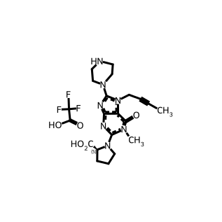 CC#CCn1c(N2CCNCC2)nc2nc(N3CCC[C@H]3C(=O)O)n(C)c(=O)c21.O=C(O)C(F)(F)F